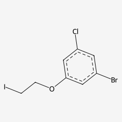 Clc1cc(Br)cc(OCCI)c1